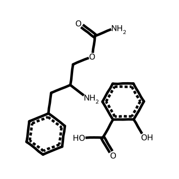 NC(=O)OCC(N)Cc1ccccc1.O=C(O)c1ccccc1O